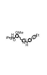 CCN1CCN(c2ccc(Nc3ncc(CCc4cc(OC)cc(C(=O)NOC(C)C)c4)cn3)cc2)CC1